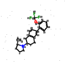 CC1CCCN1C1CCc2cc(-c3ccccc3OC(F)(F)F)ccc2C1